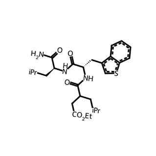 CCOC(=O)CC(CC(C)C)C(=O)N[C@@H](Cc1csc2ccccc12)C(=O)N[C@@H](CC(C)C)C(N)=O